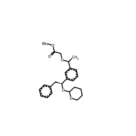 CC(OCC(=O)OC(C)(C)C)c1cccc([C@H](Cc2ccccc2)OC2CCCCO2)c1